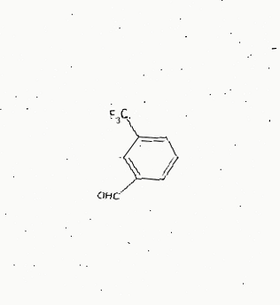 O=Cc1[c]c(C(F)(F)F)ccc1